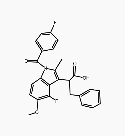 COc1ccc2c(c1F)c(C(Cc1ccccc1)C(=O)O)c(C)n2C(=O)c1ccc(F)cc1